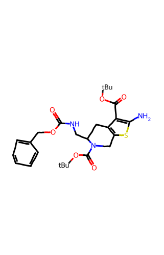 CC(C)(C)OC(=O)c1c(N)sc2c1CC(CNC(=O)OCc1ccccc1)N(C(=O)OC(C)(C)C)C2